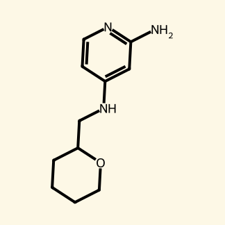 Nc1cc(NCC2CCCCO2)ccn1